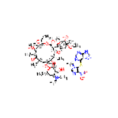 CC[C@H]1OC(=O)[C@H](C)[C@@H](O[C@H]2C[C@@](C)(OC)[C@@H](O)[C@H](C)O2)[C@H](C)[C@@H](O[C@@H]2O[C@H](C)C[C@H](N(C)C)[C@H]2O)[C@](C)(O)C[C@@H](C)C(=O)[C@H](C)[C@@H](O)[C@]1(C)O.Cn1cnc([N+](=O)[O-])c1Sc1ncnc2nc[nH]c12